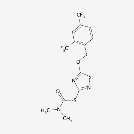 CN(C)C(=O)Sc1nsc(OCc2ccc(C(F)(F)F)cc2C(F)(F)F)n1